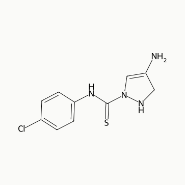 NC1=CN(C(=S)Nc2ccc(Cl)cc2)NC1